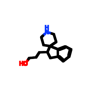 OCCCC1Cc2ccccc2C12CCNCC2